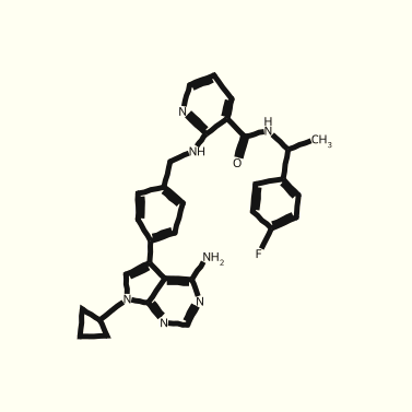 CC(NC(=O)c1cccnc1NCc1ccc(-c2cn(C3CCC3)c3ncnc(N)c23)cc1)c1ccc(F)cc1